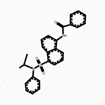 CC(C)N(c1ccccc1)S(=O)(=O)c1cccc2c(NC(=O)c3ccccc3)cccc12